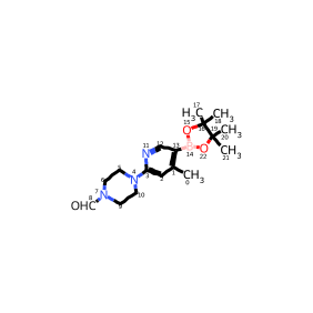 Cc1cc(N2CCN(C=O)CC2)ncc1B1OC(C)(C)C(C)(C)O1